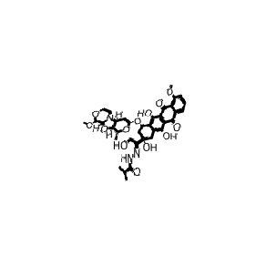 COc1cccc2c1C(=O)c1c(O)c3c(c(O)c1C2=O)C[C@@](O)(/C(CO)=N/NC(=O)C(C)C)C[C@@H]3O[C@H]1C[C@H]2[C@H](O[C@@H]3[C@@H](OC)OCCN32)[C@H](C)O1